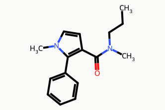 CCCN(C)C(=O)c1ccn(C)c1-c1ccccc1